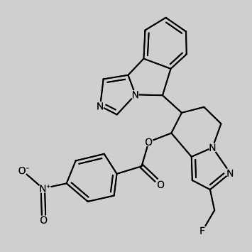 O=C(OC1c2cc(CF)nn2CCC1C1c2ccccc2-c2cncn21)c1ccc([N+](=O)[O-])cc1